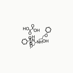 COCC(NCC(O)COc1ccccc1)NS(=O)(=O)c1ccccc1.O=C(O)C(=O)O